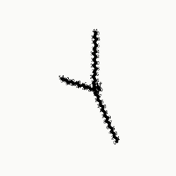 CCCCCCCCCCCCCCCCCCCn1cc[n+](CCCCCCCCCCCCCCCCCCC)c1CCCCCCCCCCCC